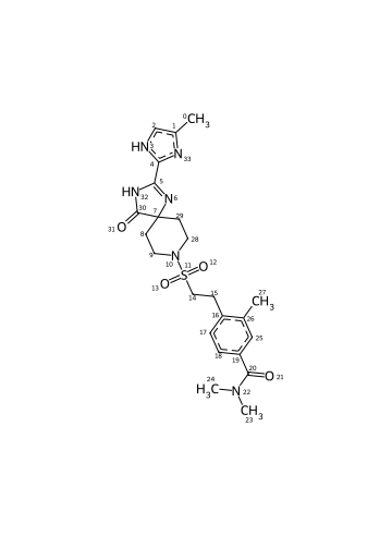 Cc1c[nH]c(C2=NC3(CCN(S(=O)(=O)CCc4ccc(C(=O)N(C)C)cc4C)CC3)C(=O)N2)n1